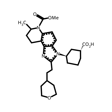 COC(=O)N1c2ccc3c(nc(CCC4CCOCC4)n3[C@@H]3CCC[C@@H](C(=O)O)C3)c2CCC1C